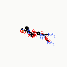 CC[C@@]1(OC(=O)OCc2ccc(NC(=O)[C@H](CCCCN)NC(=O)COCC(N)=O)cc2)C(=O)OCc2c1cc1n(c2=O)Cc2c-1nc1ccccc1c2CCN(C(C)C)S(C)(=O)=O